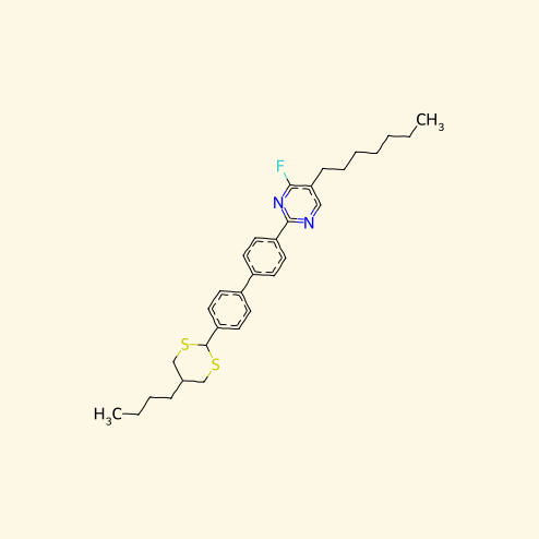 CCCCCCCc1cnc(-c2ccc(-c3ccc(C4SCC(CCCC)CS4)cc3)cc2)nc1F